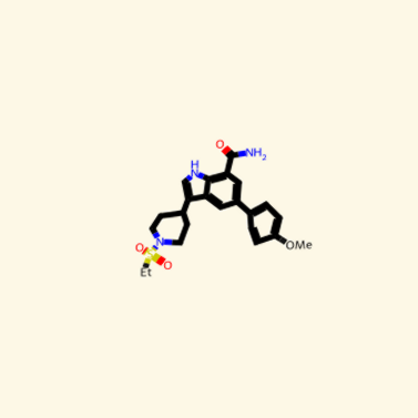 CCS(=O)(=O)N1CCC(c2c[nH]c3c(C(N)=O)cc(-c4ccc(OC)cc4)cc23)CC1